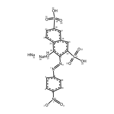 O=[N+]([O-])c1ccc(N=Nc2c(S(=O)(=O)O)cc3cc(S(=O)(=O)O)ccc3c2O)cc1.[NaH].[NaH]